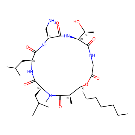 CCCCCC[C@H]1OC(=O)CNC(=O)[C@H]([C@H](C)O)NC(=O)[C@H](CN)NC(=O)[C@H](CC(C)C)NC(=O)[C@H](CC(C)C)N(C)C(=O)[C@@H]1C